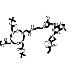 C=CC(=O)N[C@@H]1CN(c2nc(Nc3cn(CCCNC(=O)CN4CCN(CC(=O)OC(C)(C)C)CCN(CC(=O)OC(C)(C)C)CCN(CC(=O)OC(C)(C)C)CC4)nc3OC)c3ncn(C)c3n2)C[C@H]1F